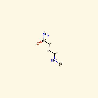 CCNCCCC(N)=O